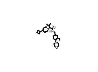 Cc1nc2cc(C3CCC3)ccn2c1C(=O)NCc1ccc(N2CCOCC2)c(F)c1